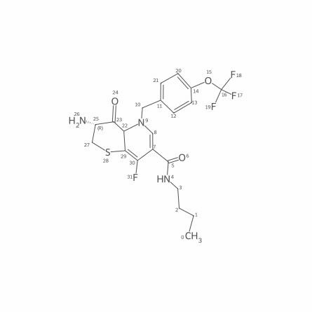 CCCCNC(=O)C1=CN(Cc2ccc(OC(F)(F)F)cc2)C2C(=O)[C@@H](N)CSC2=C1F